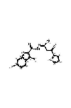 O=C(CC(=NNC(=O)c1sc2cc(F)ccc2c1Cl)C(F)(F)F)c1ccco1